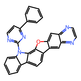 c1ccc(-c2ccnc(-n3c4ccccc4c4ccc5c6cc7nccnc7cc6oc5c43)n2)cc1